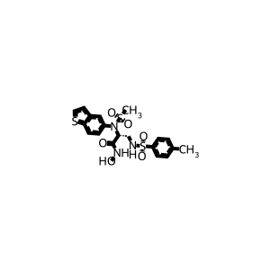 Cc1ccc(S(=O)(=O)NC[C@H](C(=O)NO)N(c2ccc3sccc3c2)S(C)(=O)=O)cc1